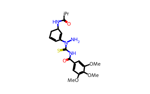 COc1cc(C(=O)NC(=S)N(N)C2=CC(NC(=O)C(C)C)CC=C2)cc(OC)c1OC